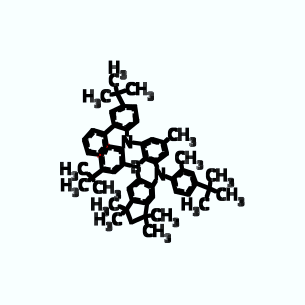 Cc1cc2c3c(c1)N(c1ccc(C(C)(C)C)cc1-c1ccccc1)c1ccc(C(C)(C)C)cc1B3c1cc3c(cc1N2c1ccc(C(C)(C)C)cc1C)C(C)(C)CC3(C)C